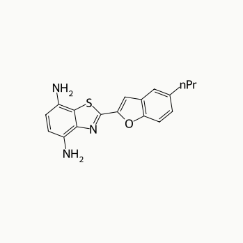 CCCc1ccc2oc(-c3nc4c(N)ccc(N)c4s3)cc2c1